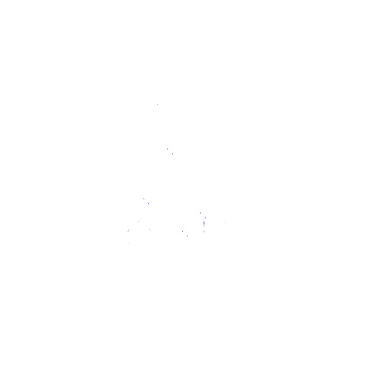 CC(C1CC1)N1CCC(CNc2ccc(Cl)cc2C(=O)Nc2ccc(Cl)cn2)CC1